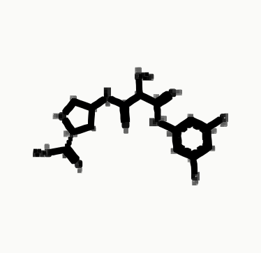 COC(=O)[C@H]1CC(NC(=O)C(OC)C(=O)Nc2cc(Cl)cc(Cl)c2)CO1